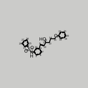 O=S(=O)(Nc1cccc(/C=C/C(O)CCCOc2[c]cccc2)c1)c1ccccc1